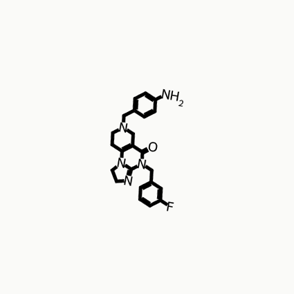 Nc1ccc(CN2CCC3=C(C2)C(=O)N(Cc2cccc(F)c2)C2=NCCN23)cc1